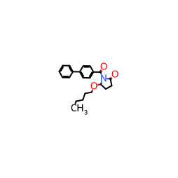 CCCCCOC1CCC(=O)N1C(=O)c1ccc(-c2ccccc2)cc1